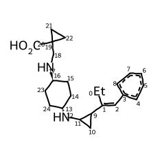 CC/C(=C\c1ccccc1)C1CC1N[C@H]1CC[C@H](NCC2(C(=O)O)CC2)CC1